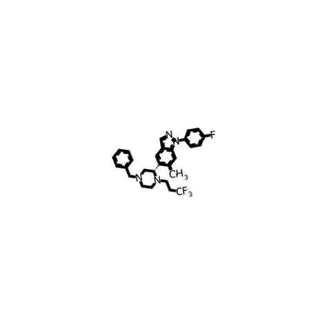 Cc1cc2c(cnn2-c2ccc(F)cc2)cc1[C@H]1CN(Cc2ccccc2)CCN1CCC(F)(F)F